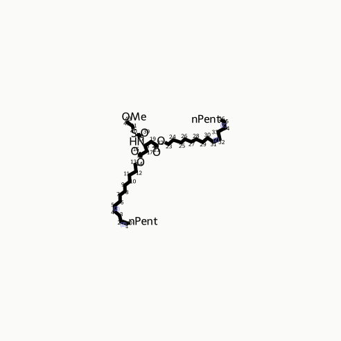 CCCCC/C=C\C/C=C\CCCCCCCCOC(=O)CC(CC(=O)OCCCCCCCC/C=C\C/C=C\CCCCC)NC(=O)SCCOC